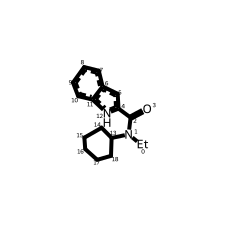 CCN(C(=O)c1cc2ccccc2[nH]1)C1CCCCC1